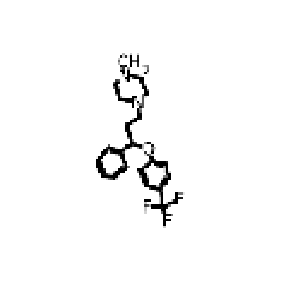 CN1CCN(CCC(Oc2ccc(C(F)(F)F)cc2)c2ccccc2)CC1